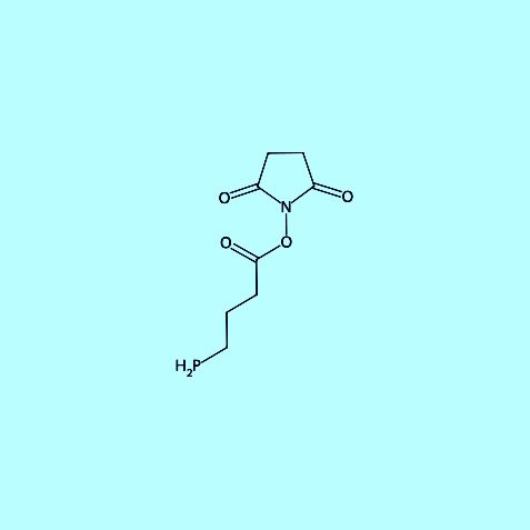 O=C(CCCP)ON1C(=O)CCC1=O